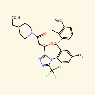 COc1cccc([C@H]2O[C@H](CC(=O)N3CCC(CC(=O)O)CC3)c3nnc(C(F)(F)Cl)n3-c3ccc(C(F)(F)F)cc32)c1C